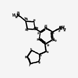 Nc1nc(CC2CCCC2)cc(N2CC(N)C2)n1